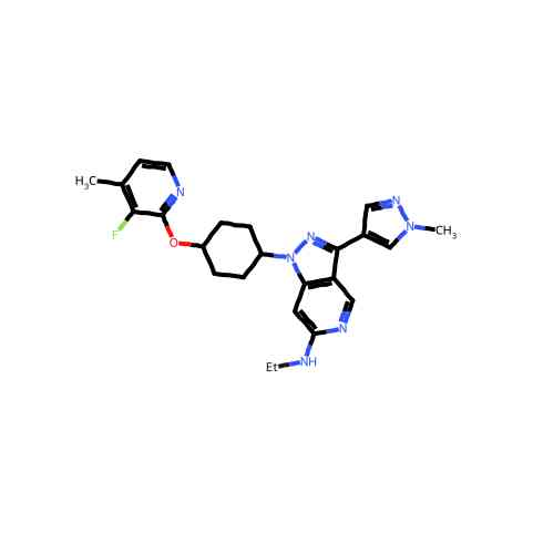 CCNc1cc2c(cn1)c(-c1cnn(C)c1)nn2C1CCC(Oc2nccc(C)c2F)CC1